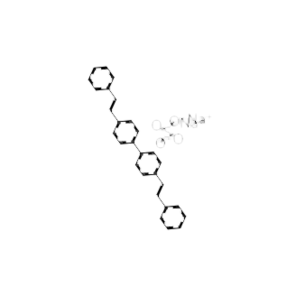 C(=Cc1ccc(-c2ccc(C=Cc3ccccc3)cc2)cc1)c1ccccc1.O=S(=O)([O-])[O-].[Na+].[Na+]